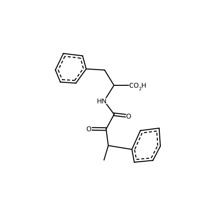 CC(C(=O)C(=O)NC(Cc1ccccc1)C(=O)O)c1ccccc1